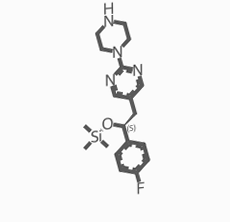 C[Si](C)(C)O[C@@H](Cc1cnc(N2CCNCC2)nc1)c1ccc(F)cc1